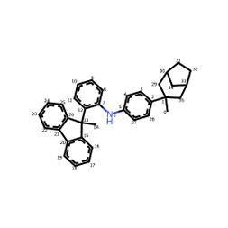 CC1(c2ccc(Nc3ccccc3C3(C)c4ccccc4-c4ccccc43)cc2)CC2CCC(C2)C1